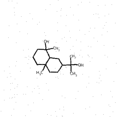 CC(C)(O)C1CCC2(C)CCCC(C)(O)C2C1